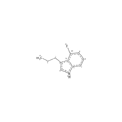 CCCc1c[nH]c2cccc(F)c12